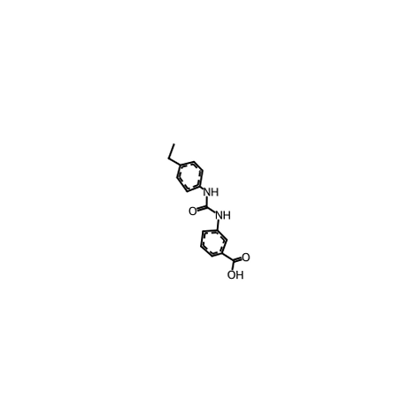 CCc1ccc(NC(=O)Nc2cccc(C(=O)O)c2)cc1